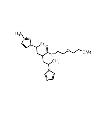 CCC(CC(CC(C)n1ccnc1)C(=O)OCCOCCOC)n1cc[n+](C)c1